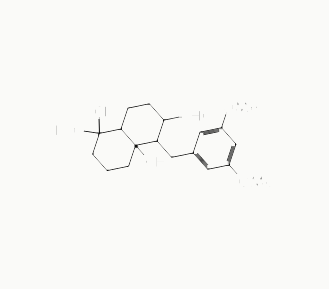 COc1cc(CC2C(C=O)CCC3C(C)(C)CCCC23C)cc(OC)c1